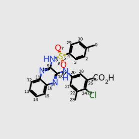 Cc1ccc(S(=O)(=O)Nc2nc3ccccc3nc2Nc2cc(C)c(Cl)c(C(=O)O)c2)cc1